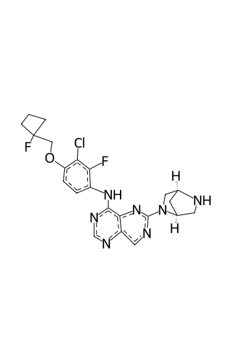 Fc1c(Nc2ncnc3cnc(N4C[C@@H]5C[C@H]4CN5)nc23)ccc(OCC2(F)CCC2)c1Cl